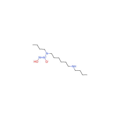 CCCCNCCCCCCN(CCCC)[N+]([O-])=NO